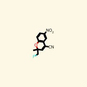 CC1(CF)C=C(C#N)c2cc([N+](=O)[O-])ccc2O1